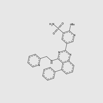 CCCCc1ncc(-c2nc(NCc3ccccn3)c3c(-c4ccccc4)cccc3n2)cc1S(N)(=O)=O